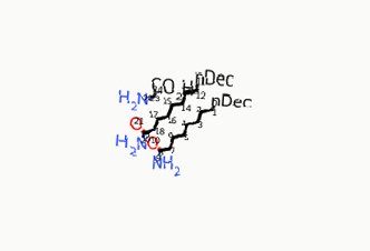 CCCCCCCCCCCCCCCCCC(N)=O.CCCCCCCCCCCCCCCCCC(N)=O.NCC(=O)O